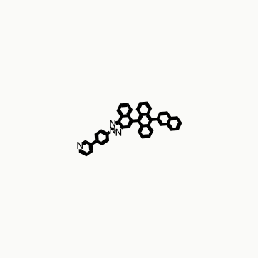 c1cncc(-c2ccc(-n3nc4cc(-c5c6ccccc6c(-c6ccc7ccccc7c6)c6ccccc56)c5ccccc5c4n3)cc2)c1